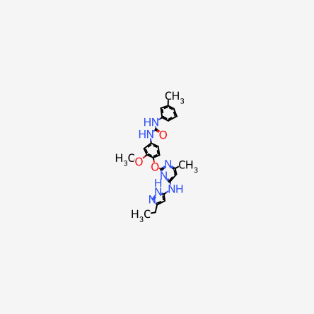 CCc1cc(Nc2cc(C)nc(Oc3ccc(NC(=O)Nc4cccc(C)c4)cc3OC)n2)[nH]n1